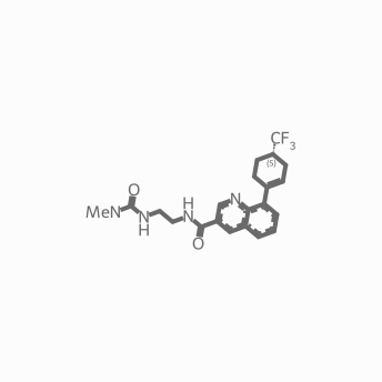 CNC(=O)NCCNC(=O)c1cnc2c(C3=CC[C@@H](C(F)(F)F)CC3)cccc2c1